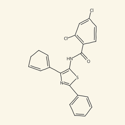 O=C(Nc1sc(-c2ccccc2)nc1C1=CCCC=C1)c1ccc(Cl)cc1Cl